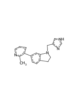 Cc1ncccc1-c1ccc2c(c1)N(Cc1c[nH]cn1)CC2